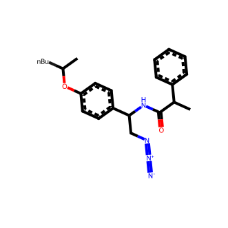 CCCCC(C)Oc1ccc(C(CN=[N+]=[N-])NC(=O)C(C)c2ccccc2)cc1